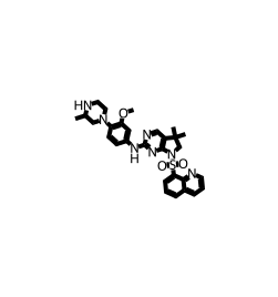 COc1cc(Nc2ncc3c(n2)N(S(=O)(=O)c2cccc4cccnc24)CC3(C)C)ccc1N1CCNC(C)C1